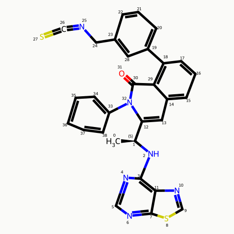 C[C@H](Nc1ncnc2scnc12)c1cc2cccc(-c3cccc(CN=C=S)c3)c2c(=O)n1-c1ccccc1